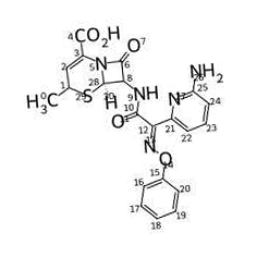 CC1C=C(C(=O)O)N2C(=O)C(NC(=O)/C(=N/Oc3ccccc3)c3cccc(N)n3)[C@H]2S1